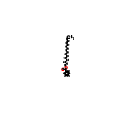 CCCCCCCCCCCCCCCCOC(=O)c1ccccc1